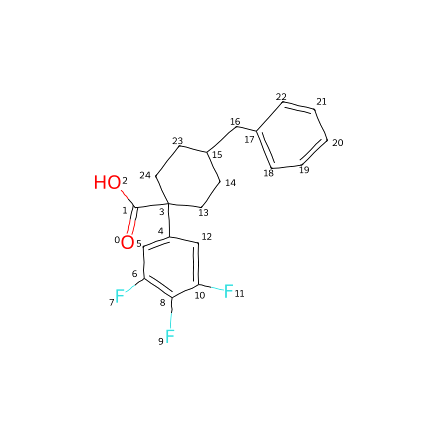 O=C(O)C1(c2cc(F)c(F)c(F)c2)CCC(Cc2ccccc2)CC1